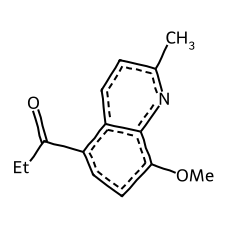 CCC(=O)c1ccc(OC)c2nc(C)ccc12